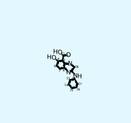 O=C(O)c1c(O)ccc2nc(Nc3ccccc3)cnc12